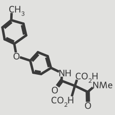 CNC(=O)C(C(=O)O)(C(=O)O)C(=O)Nc1ccc(Oc2ccc(C)cc2)cc1